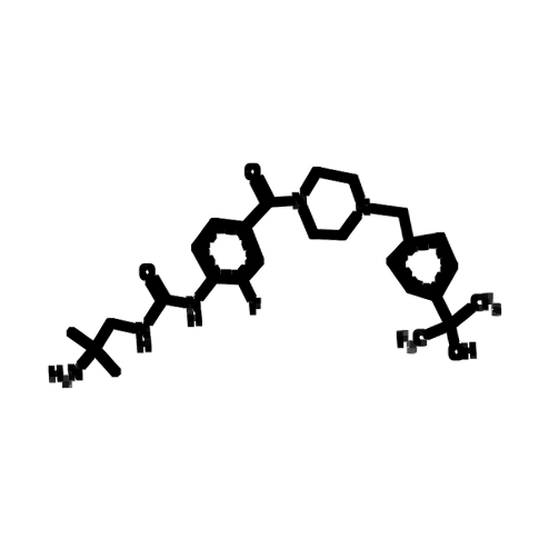 CC(C)(N)CNC(=O)Nc1ccc(C(=O)N2CCN(Cc3ccc(C(O)(C(F)(F)F)C(F)(F)F)cc3)CC2)cc1F